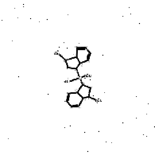 CCCCC1CC([Si](CCCC)(CCCC)C2CC(CCCC)C3C=CC=CC32)C2C=CC=CC12